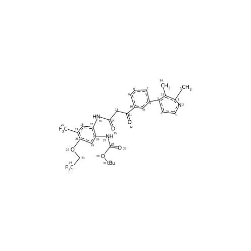 Cc1nccc(-c2cccc(C(=O)CC(=O)Nc3cc(C(F)(F)F)c(OCC(F)(F)F)cc3NC(=O)OC(C)(C)C)c2)c1C